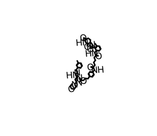 Cc1cccc(/C=N/Nc2cc(N3CCOCC3)nc(OCCc3ccc(NC(=O)CCCCC(=O)Nc4cccc5c4C(=O)N(C4CCC(=O)NC4=O)C5)cc3)n2)c1